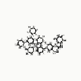 c1ccc(-c2cc(-c3ccccc3)cc([Si](c3ccccc3)(c3ccccc3)c3cccc(-c4ccc5c(c4)CSc4nc6ccccc6n4-5)c3)c2)cc1